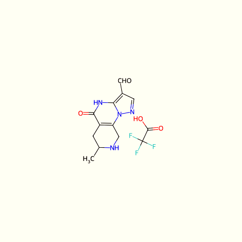 CC1Cc2c(n3ncc(C=O)c3[nH]c2=O)CN1.O=C(O)C(F)(F)F